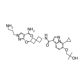 CC(C)(O)COc1ccc2c(C(=O)N[C@H]3CC4(C3)C[C@H](Oc3nn(CCCN)cc3C(N)=O)C4)cnn2c1C1CC1